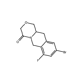 O=C1COCC2Cc3cc(Br)cc(F)c3CN12